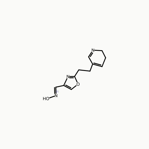 O/N=C/c1coc(CCC2=CCCN=C2)n1